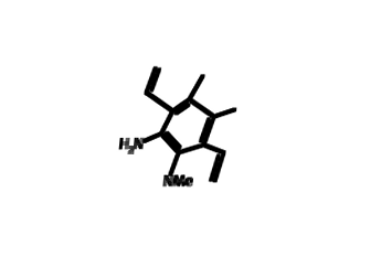 C=Cc1c(C)c(C)c(C=C)c(NC)c1N